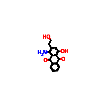 Nc1c(CCO)cc(O)c2c1C(=O)c1ccccc1C2=O